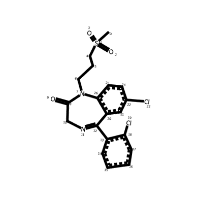 CS(=O)(=O)CCCN1C(=O)CN=C(c2ccccc2Cl)c2cc(Cl)ccc21